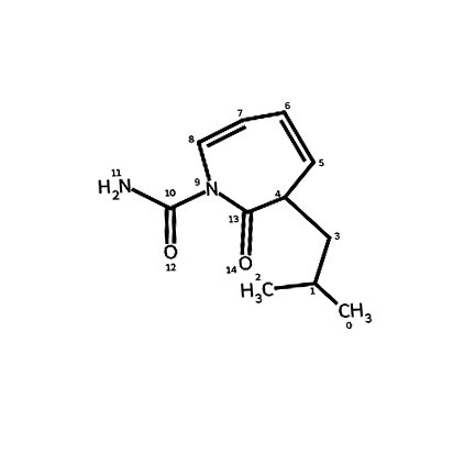 CC(C)CC1C=CC=CN(C(N)=O)C1=O